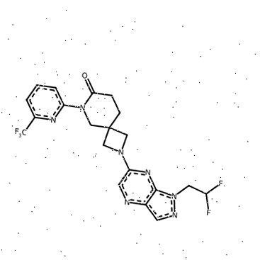 O=C1CCC2(CN(c3cnc4cnn(CC(F)F)c4n3)C2)CN1c1cccc(C(F)(F)F)n1